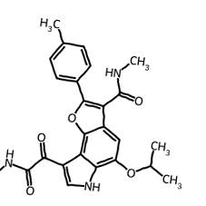 CNC(=O)C(=O)c1c[nH]c2c(OC(C)C)cc3c(C(=O)NC)c(-c4ccc(C)cc4)oc3c12